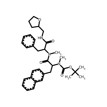 CN(C(=O)OC(C)(C)C)C(Cc1ccc2ccccc2c1)C(=O)N(C)C(Cc1ccccc1)C(=O)NCC1CCCO1